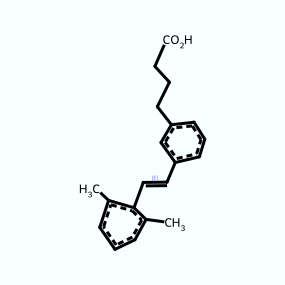 Cc1cccc(C)c1/C=C/c1cccc(CCCC(=O)O)c1